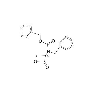 O=C1OC[C@@H]1N(Cc1ccccc1)C(=O)OCc1ccccc1